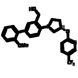 COc1ccccc1-c1ccc(N2CC[C@H](Oc3ccc(C(F)(F)F)cn3)C2)c(CO)c1